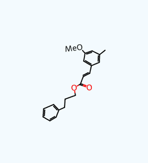 COc1cc(C)cc(/C=C/C(=O)OCCCc2ccccc2)c1